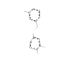 Cc1cccc(CNc2ccc(O)c(Cl)c2)c1